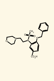 CS(=O)(=O)N(CCN1CCOCC1)c1cc(C(=O)O)ccc1OCc1ccccc1